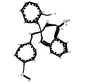 COc1ccc(CC2(c3ccccc3F)C=c3ccccc3=C(O)C2)cc1